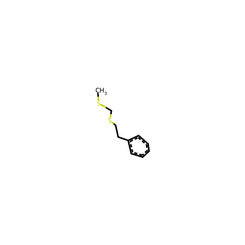 CSCSCCc1ccccc1